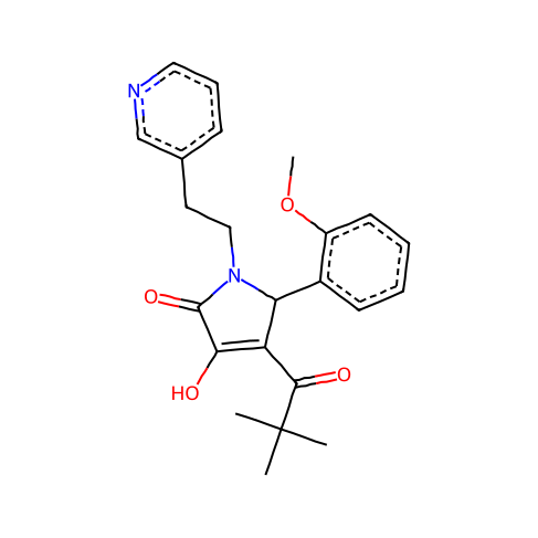 COc1ccccc1C1C(C(=O)C(C)(C)C)=C(O)C(=O)N1CCc1cccnc1